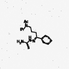 CC(=O)N(CCCC(=NNC(N)=S)c1ccccc1)C(C)C